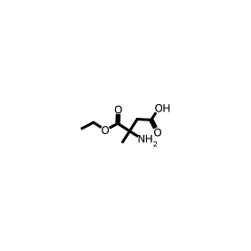 CCOC(=O)C(C)(N)CC(=O)O